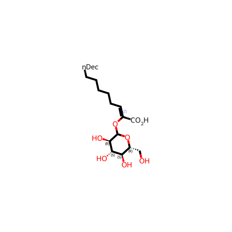 CCCCCCCCCCCCCCC/C=C(\OC1O[C@H](CO)[C@@H](O)[C@H](O)[C@H]1O)C(=O)O